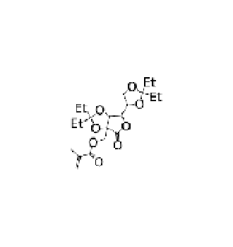 C=C(C)C(=O)OCC12OC(CC)(CC)OC1C(C1COC(CC)(CC)O1)OC2=O